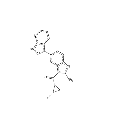 Nc1nc2ccc(-c3c[nH]c4ncccc34)cn2c1C(=O)[C@@H]1C[C@@H]1F